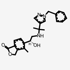 Cc1c([C@@H](O)CNC(C)(C)c2cnn(Cc3ccccc3)c2)ccc2c1COC2=O